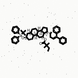 CCC(C)(C)C(=O)O[C@H]1C[C@H]2[C@@H](CC[C@@H]3C[C@H](O[Si](c4ccccc4)(c4ccccc4)C(C)(C)C)CC[C@@]32C)[C@@H]2CC[C@H](C(C)CC=C(c3ccccc3)c3ccccc3)[C@@]12C